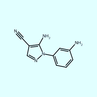 N#Cc1cnn(-c2cccc(N)c2)c1N